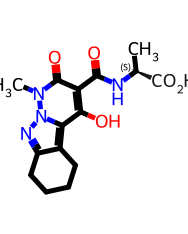 C[C@H](NC(=O)c1c(O)c2c3c(nn2n(C)c1=O)CCCC3)C(=O)O